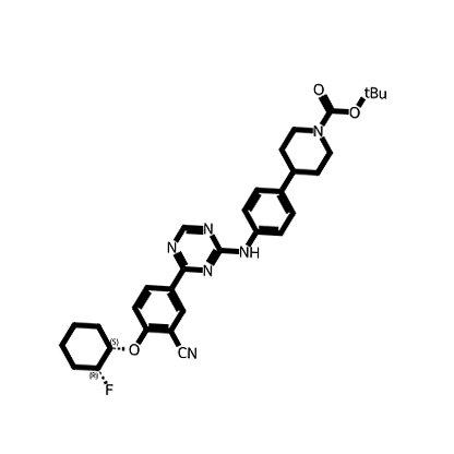 CC(C)(C)OC(=O)N1CCC(c2ccc(Nc3ncnc(-c4ccc(O[C@H]5CCCC[C@H]5F)c(C#N)c4)n3)cc2)CC1